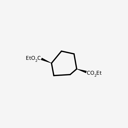 CCOC(=O)[C@H]1CC[C@@H](C(=O)OCC)CC1